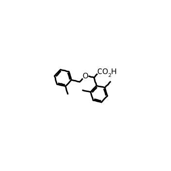 Cc1ccccc1COC(C(=O)O)c1c(C)cccc1C